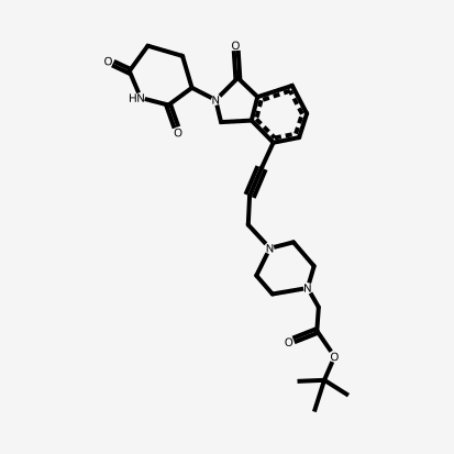 CC(C)(C)OC(=O)CN1CCN(CC#Cc2cccc3c2CN(C2CCC(=O)NC2=O)C3=O)CC1